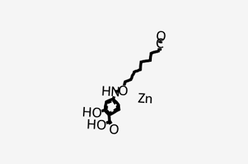 O=C=CCCCCCCCONc1ccc(C(=O)O)c(O)c1.[Zn]